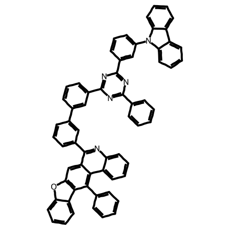 c1ccc(-c2nc(-c3cccc(-c4cccc(-c5nc6ccccc6c6c(-c7ccccc7)c7c(cc56)oc5ccccc57)c4)c3)nc(-c3cccc(-n4c5ccccc5c5ccccc54)c3)n2)cc1